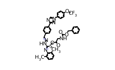 Cc1cccc(C)c1/N=C(/N/N=C/c1ccc(-c2ncn(-c3ccc(OC(F)(F)F)cc3)n2)cc1)SOC(=O)CNC(=O)OCc1ccccc1